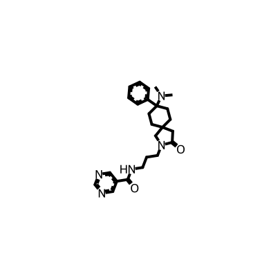 CN(C)C1(c2ccccc2)CCC2(CC1)CC(=O)N(CCCNC(=O)c1cncnc1)C2